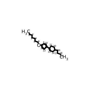 CCCCCCCOc1ccc(C2=CCC(CCCC)CC2)cc1